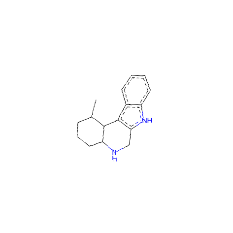 CC1CCCC2NCc3[nH]c4ccccc4c3C12